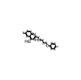 Cc1ccc2nc(CNCCCOc3ccccc3)cc(O)c2c1